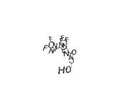 O=C(c1cc2c(cn1)c(-c1cnc3c(F)cc(F)cn13)nn2CC(F)(F)F)N1CCC(CO)CC1